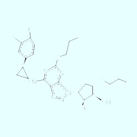 CCCO[C@H]1C[C@@H](n2nnc3c(N[C@@H]4C[C@H]4c4ccc(F)c(F)c4)nc(SCCC)nc32)[C@H](O)[C@@H]1O